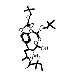 CCC(C)(C)C(=O)OC(C)CC(c1ccc(OC(=O)OCC(C)(C)C)c(OC(=O)OCC(C)(C)C)c1)[C@H](N)C(=O)O